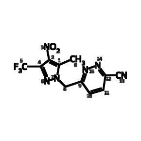 Cc1c([N+](=O)[O-])c(C(F)(F)F)nn1Cc1ccc(C#N)nn1